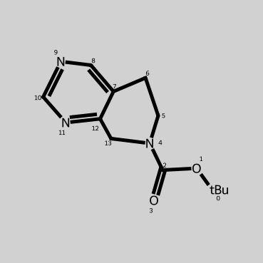 CC(C)(C)OC(=O)N1CCc2cncnc2C1